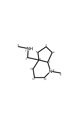 CNCC12CCCC1N(C)CCC2